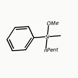 CCCCC[Si](C)(OC)c1ccccc1